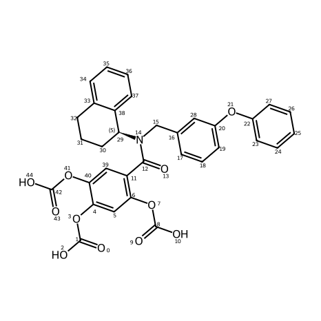 O=C(O)Oc1cc(OC(=O)O)c(C(=O)N(Cc2cccc(Oc3ccccc3)c2)[C@H]2CCCc3ccccc32)cc1OC(=O)O